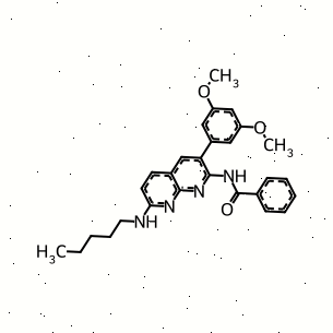 CCCCCNc1ccc2cc(-c3cc(OC)cc(OC)c3)c(NC(=O)c3ccccc3)nc2n1